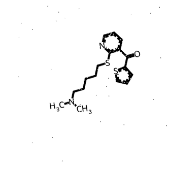 CN(C)CCCCCSc1ncccc1C(=O)c1cccs1